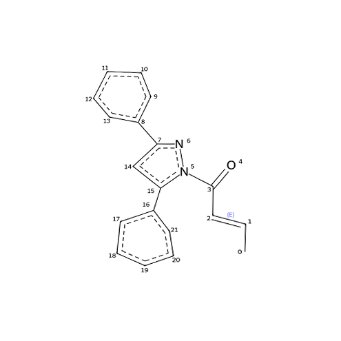 C/C=C/C(=O)n1nc(-c2ccccc2)cc1-c1ccccc1